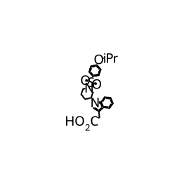 CC(C)Oc1ccc(S(=O)(=O)N2CCCC(n3cc(CC(=O)O)c4ccccc43)C2)cc1